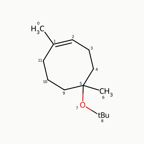 CC1=CCCC(C)(OC(C)(C)C)CCC1